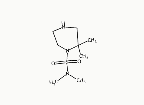 CN(C)S(=O)(=O)N1CCNCC1(C)C